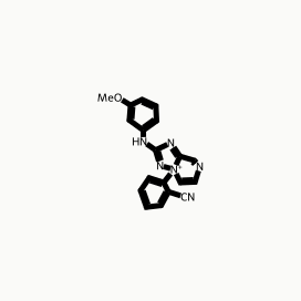 COc1cccc(NC2=N[N+]3(c4ccccc4C#N)C=CN=CC3=N2)c1